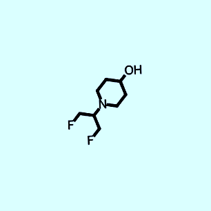 OC1CCN(C(CF)CF)CC1